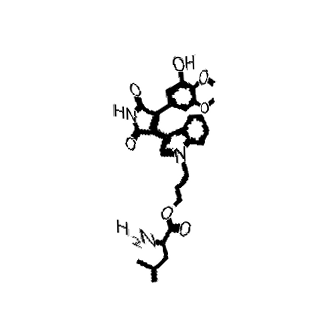 COc1cc(C2=C(c3cn(CCCOC(=O)C(N)CC(C)C)c4ccccc34)C(=O)NC2=O)cc(O)c1OC